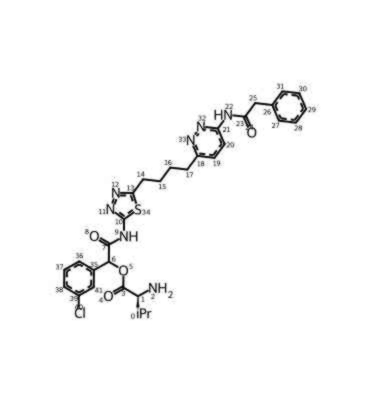 CC(C)[C@H](N)C(=O)OC(C(=O)Nc1nnc(CCCCc2ccc(NC(=O)Cc3ccccc3)nn2)s1)c1cccc(Cl)c1